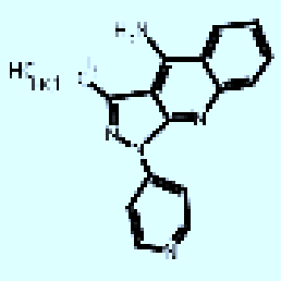 Cc1nn(-c2ccncc2)c2nc3ccccc3c(N)c12.Cl.Cl